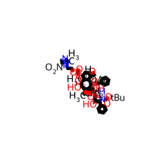 CC(=O)O[C@@]12CO[C@@H]1C[C@H](OC(=O)OCCn1c([N+](=O)[O-])cnc1C)[C@@]1(C)C(=O)[C@H](O)C3=C(C)[C@@H](OC(=O)[C@H](O)[C@@H](NC(=O)OC(C)(C)C)c4ccccc4)C[C@@](O)([C@@H](OC(=O)c4ccccc4)C12)C3(C)C